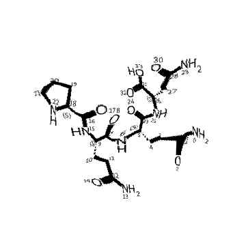 NC(=O)CC[C@H](NC(=O)[C@H](CCC(N)=O)NC(=O)[C@@H]1CCCN1)C(=O)N[C@@H](CC(N)=O)C(=O)O